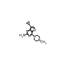 CN1CCN(c2nc(N)nc3c(C4CC4)coc23)CC1